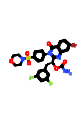 NC(=O)O[C@H](Cc1cc(F)cc(F)c1)c1nc2cc(Br)ccc2c(=O)n1-c1ccc(S(=O)(=O)N2CCOCC2)cc1